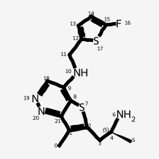 Cc1c(C[C@H](C)N)sc2c(NCc3ccc(F)s3)cnnc12